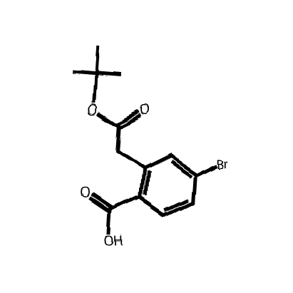 CC(C)(C)OC(=O)Cc1cc(Br)ccc1C(=O)O